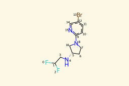 FC(F)CN[C@H]1CCN(c2ccc(Br)cn2)C1